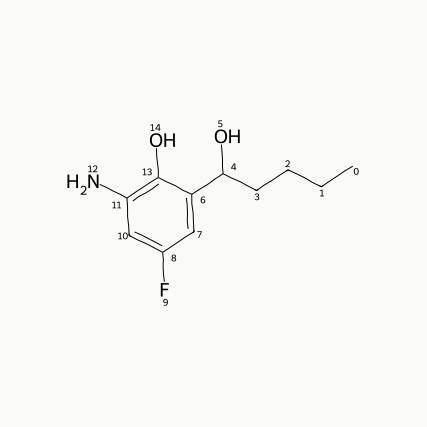 CCCCC(O)c1cc(F)cc(N)c1O